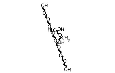 CC(O)COC(C)CO.OCCOCCOCCOCCOCCOCCOCCOCCOCCO